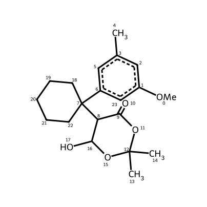 COc1cc(C)cc(C2(C3C(=O)OC(C)(C)OC3O)CCCCC2)c1